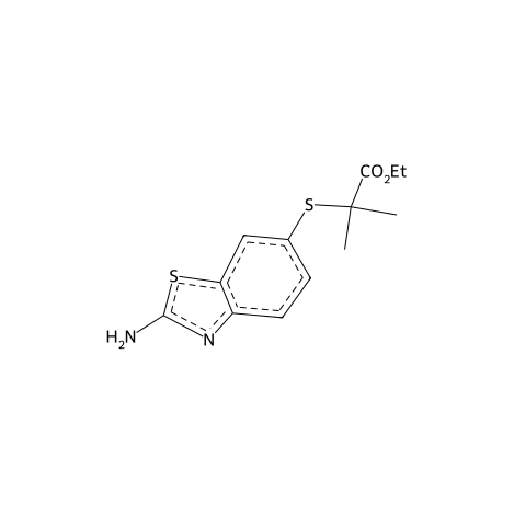 CCOC(=O)C(C)(C)Sc1ccc2nc(N)sc2c1